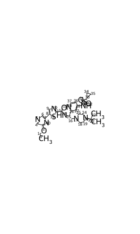 CCOc1cncc(-c2cnc(C(=O)N[C@@H](CN3CCN(C(C)C)CC3)c3cc(NS(=O)(=O)C4CC4)ccn3)s2)n1